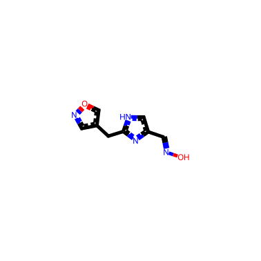 ON=Cc1c[nH]c(Cc2cnoc2)n1